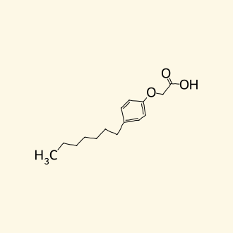 CCCCCCCc1ccc(OCC(=O)O)cc1